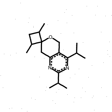 CC(C)c1nc2c(c(C(C)C)n1)COC1(C2)C(C)CC1C